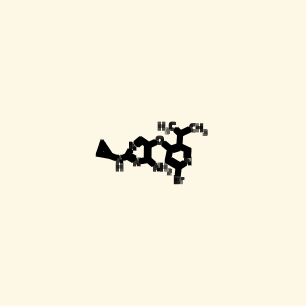 CC(C)c1cnc(Br)cc1Oc1cnc(NC2CC2)nc1N